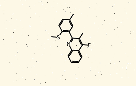 CSc1ccc(C)cc1-c1nc2ccccc2c(F)c1C